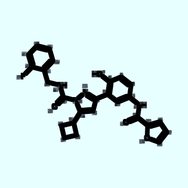 O=C(Nc1ccc(O)c(-c2cc(C3CCC3)n(C(=O)NCc3ccccc3F)n2)c1)c1ccco1